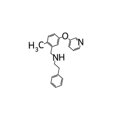 Cc1ccc(Oc2cccnc2)cc1CNCCc1ccccc1